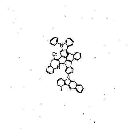 CCC1=C(c2ccc3c4ccccc4n(-c4ccccc4)c3c2)C(n2c3cc(-n4c5c(c6cc7ccccc7cc64)C(C)CC=C5)ccc3c3c4ccccc4ccc32)=Nc2ccccc2C1